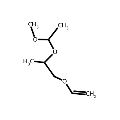 C=COCC(C)OC(C)OC